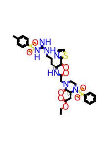 CCOC(=O)C[C@H]1C(=O)N(CC(=O)N[C@@H](CCCNC(=N)NS(=O)(=O)c2ccc(C)cc2)C(=O)c2nccs2)CCN1S(=O)(=O)c1ccccc1